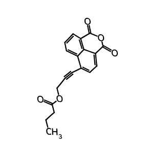 CCCC(=O)OCC#Cc1ccc2c3c(cccc13)C(=O)OC2=O